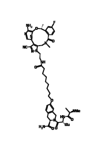 CN[C@H](C)C(=O)N[C@@H](C(=O)N1Cc2cc(OCCCCCCCCC(=O)NCCn3nc(C#N)c4c3CN(C)C(=O)c3ccc(F)cc3[C@@H](C)Oc3nc-4cnc3N)ccc2C[C@@H]1C(N)=O)C(C)(C)C